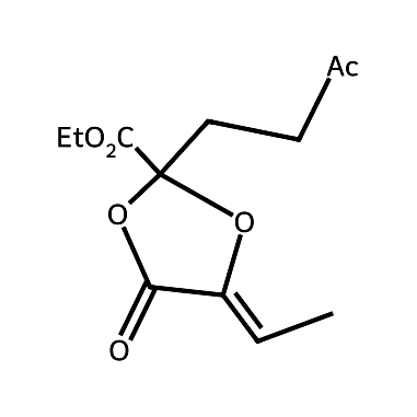 C/C=C1\OC(CCC(C)=O)(C(=O)OCC)OC1=O